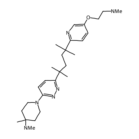 CNCCOc1ccc(C(C)(C)CCC(C)(C)c2ccc(N3CCC(C)(NC)CC3)nn2)nc1